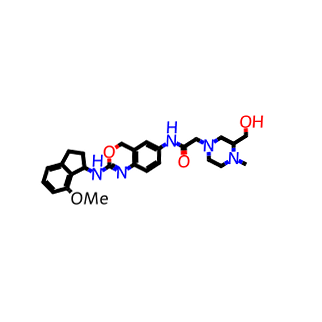 COc1cccc2c1C(NC1=Nc3ccc(NC(=O)CN4CCN(C)C(CO)C4)cc3CO1)CC2